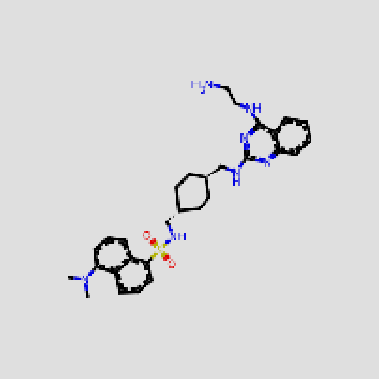 CN(C)c1cccc2c(S(=O)(=O)NC[C@H]3CC[C@H](CNc4nc(NCCN)c5ccccc5n4)CC3)cccc12